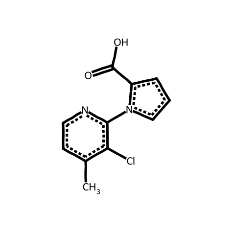 Cc1ccnc(-n2cccc2C(=O)O)c1Cl